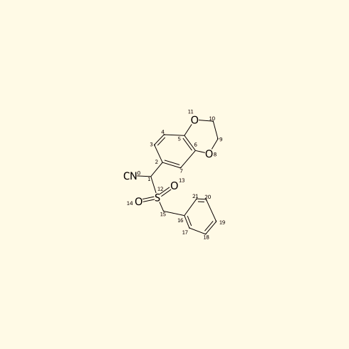 [C-]#[N+]C(c1ccc2c(c1)OCCO2)S(=O)(=O)Cc1ccccc1